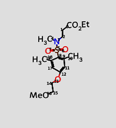 CCOC(=O)CCN(C)S(=O)(=O)c1c(C)cc(OCCOC)cc1C